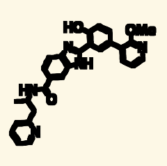 COc1ncccc1-c1ccc(O)c(-c2nc3ccc(C(=O)NC(C)Cc4ccccn4)cc3[nH]2)c1